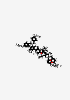 C=N/C(=C(\C=C/C)[C@@H](C)N1CCOc2nc(-c3c(F)c(N(Cc4ccc(OC)cc4)Cc4ccc(OC)cc4)c(F)c(C)c3C(F)(F)F)c(F)c3nc(S(C)(=O)=O)nc1c23)N(Cc1ccc(OC)cc1)Cc1ccc(OC)cc1